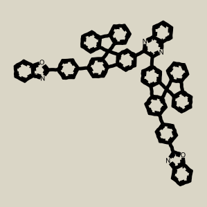 c1ccc2c(c1)-c1ccccc1C21c2cc(-c3ccc(-c4nc5ccccc5o4)cc3)ccc2-c2ccc(-c3nc4ccccc4nc3-c3ccc4c(c3)C3(c5ccccc5-c5ccccc53)c3cc(-c5ccc(-c6nc7ccccc7o6)cc5)ccc3-4)cc21